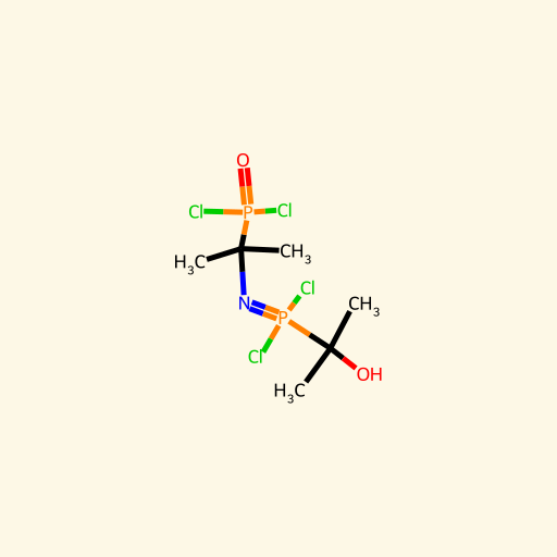 CC(C)(N=P(Cl)(Cl)C(C)(C)O)P(=O)(Cl)Cl